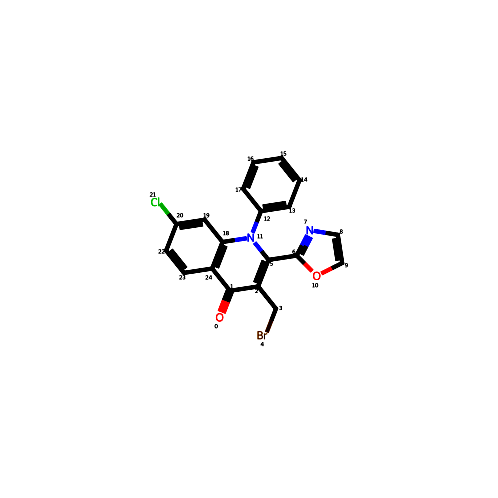 O=c1c(CBr)c(-c2ncco2)n(-c2ccccc2)c2cc(Cl)ccc12